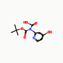 CC(C)(C)OC(=O)N(C(=O)O)c1cc(O)ccn1